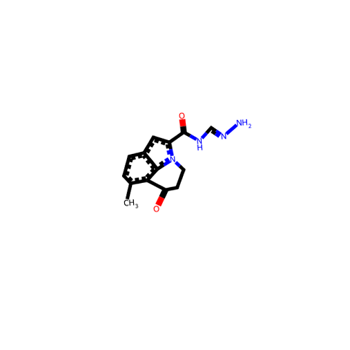 Cc1ccc2cc(C(=O)NC=NN)n3c2c1C(=O)CC3